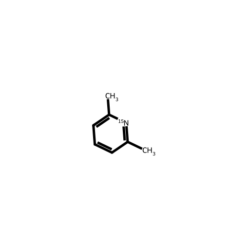 Cc1cccc(C)[15n]1